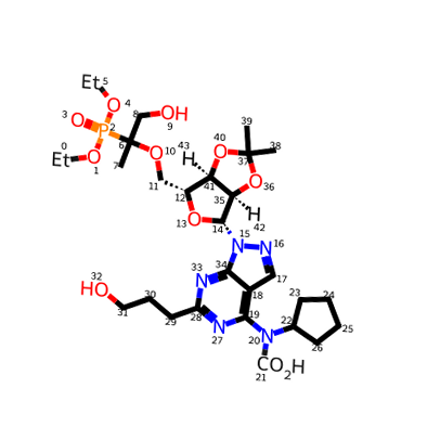 CCOP(=O)(OCC)C(C)(CO)OC[C@H]1O[C@@H](n2ncc3c(N(C(=O)O)C4CCCC4)nc(CCCO)nc32)[C@@H]2OC(C)(C)O[C@@H]21